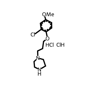 COc1ccc(OCCCN2CCNCC2)c(Cl)c1.Cl.Cl